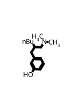 CCCCC(Cc1cccc(O)c1)CN(C)C